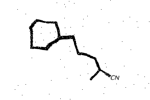 C[C@H](C#N)CCCC1CCCCC1